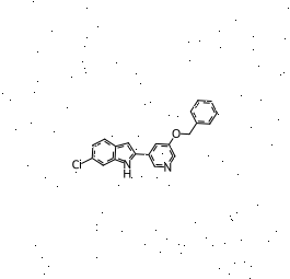 Clc1ccc2cc(-c3cncc(OCc4ccccc4)c3)[nH]c2c1